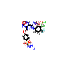 NS(=O)(=O)c1ccc(OCc2nonc2/C(=N/O)Nc2ccc(F)c(Cl)c2)cc1